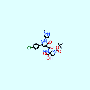 Cn1cc(-n2nc(-c3ccc(Cl)cc3)cc(C(=O)NC3(C(=O)O)CCN(C(=O)OC(C)(C)C)C3)c2=O)cn1